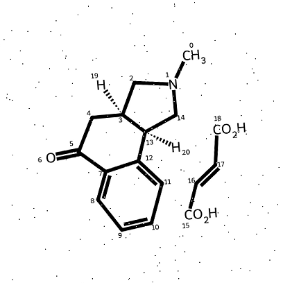 CN1C[C@@H]2CC(=O)c3ccccc3[C@@H]2C1.O=C(O)C=CC(=O)O